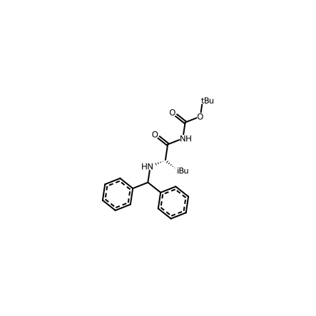 CC[C@@H](C)[C@H](NC(c1ccccc1)c1ccccc1)C(=O)NC(=O)OC(C)(C)C